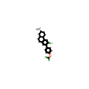 CCCC1CCC2c3cc(F)c(-c4ccc(OC(F)F)cc4)cc3CCC2C1